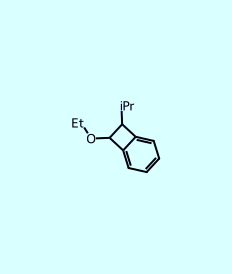 CCOC1c2ccccc2C1C(C)C